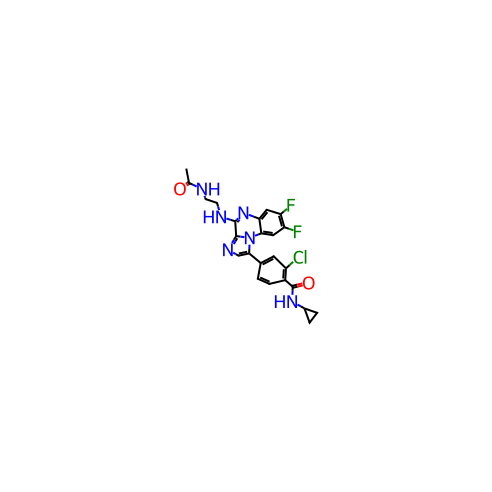 CC(=O)NCCNc1nc2cc(F)c(F)cc2n2c(-c3ccc(C(=O)NC4CC4)c(Cl)c3)cnc12